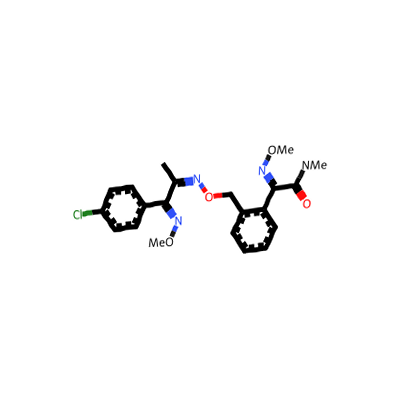 CNC(=O)C(=NOC)c1ccccc1CON=C(C)C(=NOC)c1ccc(Cl)cc1